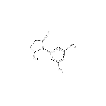 O=C1CCC(O)N1c1cc(C(F)(F)F)cc(C(F)(F)F)c1